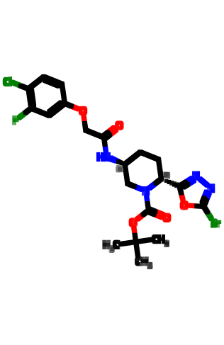 CC(C)(C)OC(=O)N1C[C@@H](NC(=O)COc2ccc(Cl)c(F)c2)CC[C@@H]1c1nnc(Br)o1